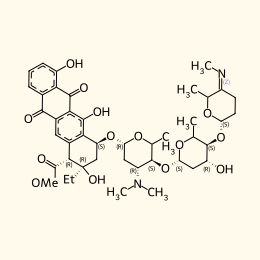 CC[C@@]1(O)C[C@H](O[C@H]2C[C@@H](N(C)C)[C@H](O[C@H]3C[C@@H](O)[C@H](O[C@H]4CC/C(=N/C)C(C)O4)C(C)O3)C(C)O2)c2c(cc3c(c2O)C(=O)c2c(O)cccc2C3=O)[C@H]1C(=O)OC